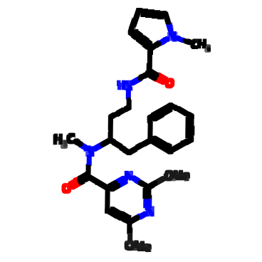 COc1cc(C(=O)N(C)C(CCNC(=O)c2cccn2C)Cc2ccccc2)nc(OC)n1